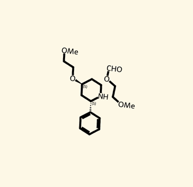 COCCOC=O.COCCO[C@H]1CCN[C@H](c2ccccc2)C1